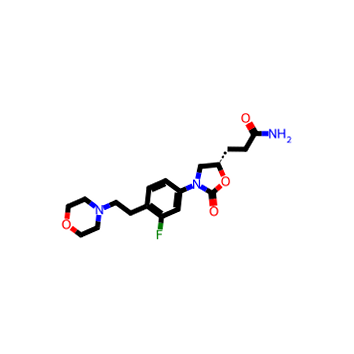 NC(=O)CC[C@H]1CN(c2ccc(CCN3CCOCC3)c(F)c2)C(=O)O1